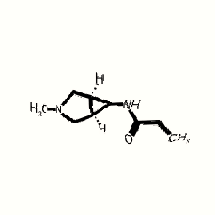 CCC(=O)NC1[C@H]2CN(C)C[C@@H]12